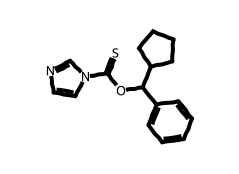 S=C(OC(c1ccccc1)C1CCCC1)n1ccnc1